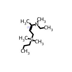 CCC[Si](C)(C)C/C=C(/C)N(C)CC